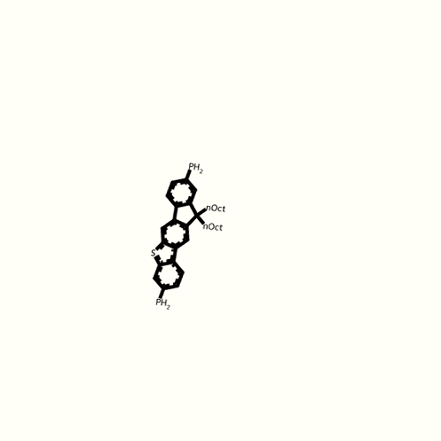 CCCCCCCCC1(CCCCCCCC)c2cc(P)ccc2-c2cc3sc4cc(P)ccc4c3cc21